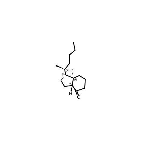 CCCC[C@H](C)[C@H]1CC[C@H]2C(=O)CCC[C@]12C